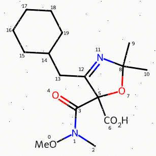 CON(C)C(=O)C1(C(=O)O)OC(C)(C)N=C1CC1CCCCC1